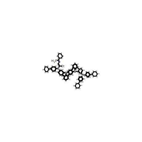 CC/C(=C\C=C(/C)C1CCCCC1)N(c1ccc(C2CCCCC2)cc1)c1ccc2c3cccc4c5cc6c(cc5n(c2c1)c34)c1cccc2c1n6C1=CC(N(c3ccc(C4CCCCC4)cc3)c3ccc(C4CCCCC4)cc3)=CCC12